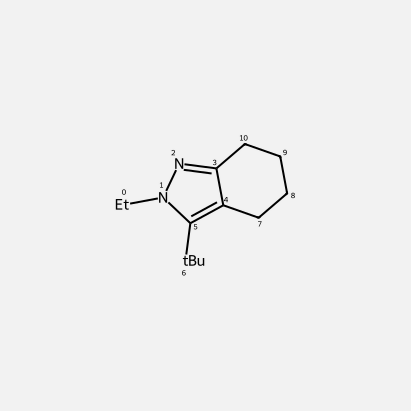 CCn1nc2c(c1C(C)(C)C)CCCC2